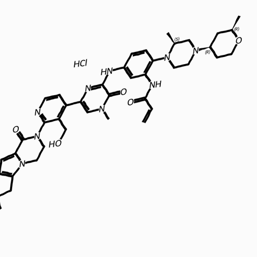 C=CC(=O)Nc1cc(Nc2nc(-c3ccnc(N4CCn5c(cc6c5CC(C)(C)C6)C4=O)c3CO)cn(C)c2=O)ccc1N1CCN([C@@H]2CCO[C@H](C)C2)C[C@@H]1C.Cl